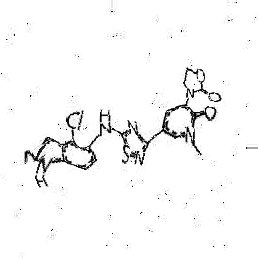 Cn1cc(-c2nsc(Nc3ccc4[nH]ncc4c3Cl)n2)cc(N2CCOC2=O)c1=O